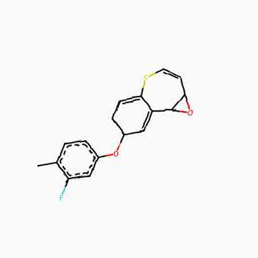 Cc1ccc(OC2C=C3C(=CC2)SC=CC2OC32)cc1F